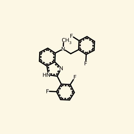 CN(Cc1c(F)cccc1F)c1cccc2[nH]c(-c3c(F)cccc3F)nc12